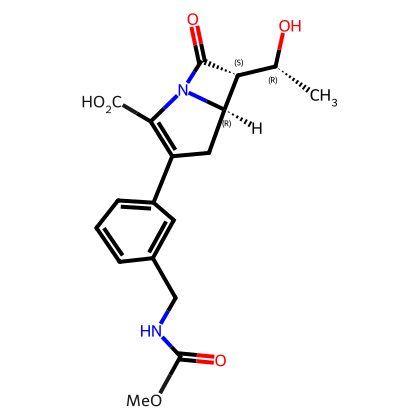 COC(=O)NCc1cccc(C2=C(C(=O)O)N3C(=O)[C@H]([C@@H](C)O)[C@H]3C2)c1